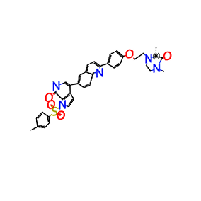 Cc1ccc(S(=O)(=O)n2ccc3c(-c4ccc5nc(-c6ccc(OCCN7CCN(C)C(=O)[C@H]7C)cc6)ccc5c4)cn(C)c(=O)c32)cc1